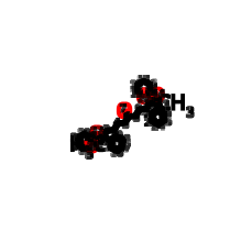 CC(CCCCC(=O)CCCCC(C)(OC1CCCCO1)c1ccccc1)(OC1CCCCO1)c1ccccc1